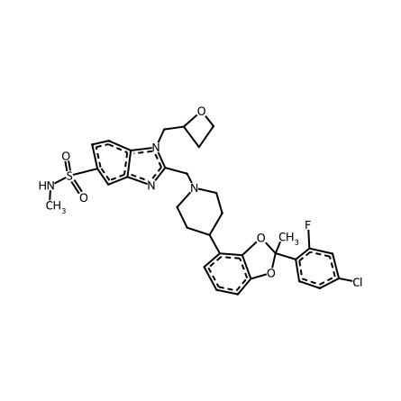 CNS(=O)(=O)c1ccc2c(c1)nc(CN1CCC(c3cccc4c3OC(C)(c3ccc(Cl)cc3F)O4)CC1)n2CC1CCO1